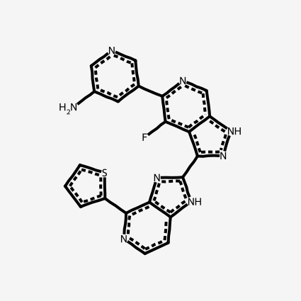 Nc1cncc(-c2ncc3[nH]nc(-c4nc5c(-c6cccs6)nccc5[nH]4)c3c2F)c1